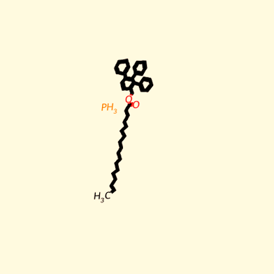 CCCCCCCCCCCCCCCCCC(=O)OCc1ccc(-c2ccccc2)c(-c2ccccc2)c1-c1ccccc1.P